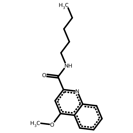 CCCCCNC(=O)c1cc(OC)c2ccccc2n1